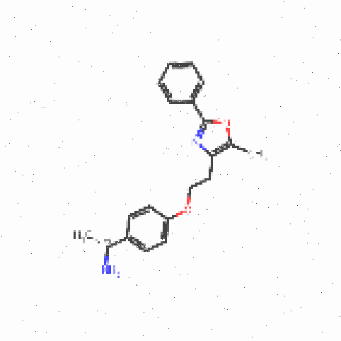 Cc1oc(-c2ccccc2)nc1CCOc1ccc([C@@H](C)N)cc1